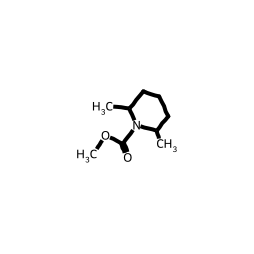 COC(=O)N1C(C)CCCC1C